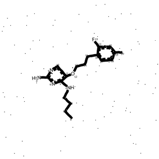 CCCCNc1nc(N)ncc1OCCCc1ccc(C)cc1F